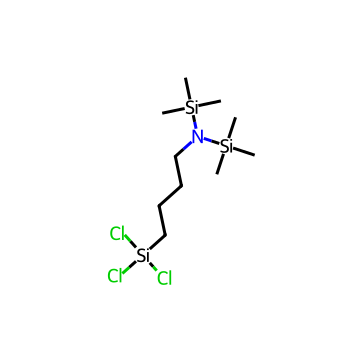 C[Si](C)(C)N(CCCC[Si](Cl)(Cl)Cl)[Si](C)(C)C